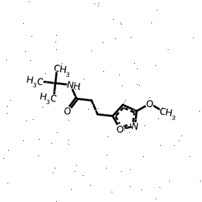 COc1cc(CCC(=O)NC(C)(C)C)on1